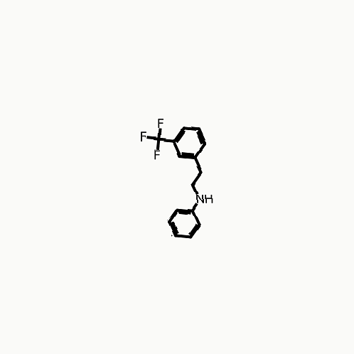 FC(F)(F)c1cccc(CCNc2cc[c]cc2)c1